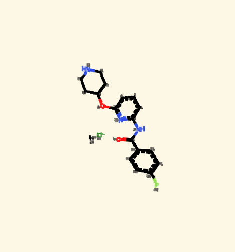 O=C(Nc1cccc(OC2CCNCC2)n1)c1ccc(F)cc1.[Cl-].[H+]